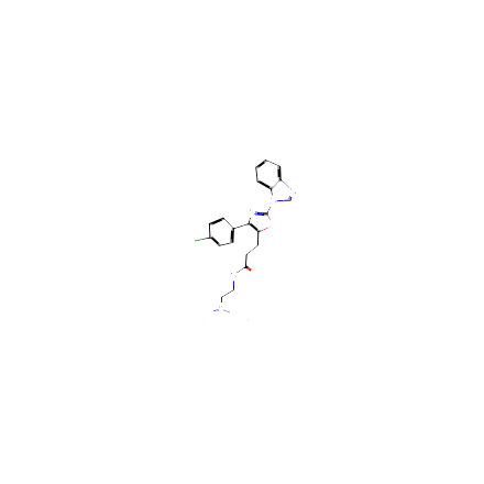 CN(C)CCNC(=O)CCc1oc(-n2cnc3ccccc32)nc1-c1ccc(Cl)cc1